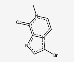 Cn1ccn2c(Br)cnc2c1=O